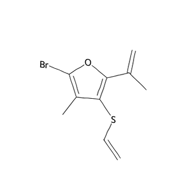 C=CSc1c(C(=C)C)oc(Br)c1C